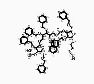 [N-]=[N+]=NCCO[C@@H]1O[C@H](COCc2ccccc2)C(OP(=O)(O)OCC(OCc2ccccc2)C(OCc2ccccc2)C(CO[C@@H]2O[C@H](COCc3ccccc3)C(O[PH](=O)O)C2OCc2ccccc2)OCc2ccccc2)C1OCc1ccccc1